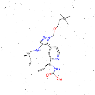 C=CC[C@H](NC(=O)O)c1cc(-c2c(NC[C@H](C)C=C)cnn2COCC[Si](C)(C)C)ccn1